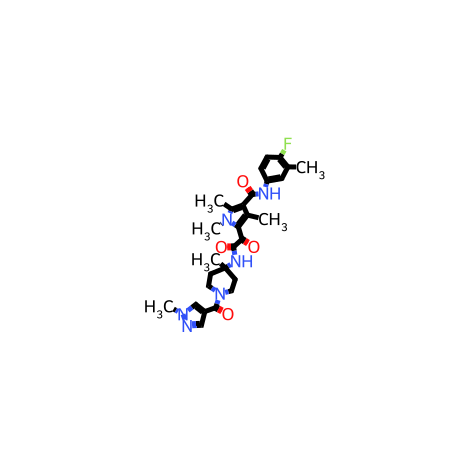 Cc1cc(NC(=O)c2c(C)c(C(=O)C(=O)NC3(C)CCN(C(=O)c4cnn(C)c4)CC3)n(C)c2C)ccc1F